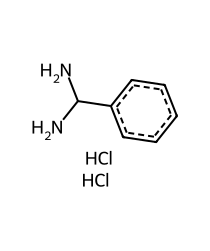 Cl.Cl.NC(N)c1ccccc1